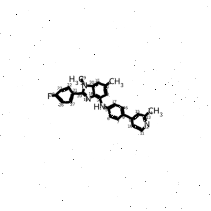 Cc1cc(Nc2ccc(-c3ccnc(C)c3)cc2)c2nc(-c3ccc(F)cc3)n(C)c2c1